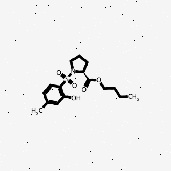 CCCCOC(=O)[C@@H]1CCCN1S(=O)(=O)c1ccc(C)cc1O